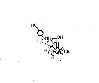 C#Cc1ccc(C(C)NC(=O)[C@@H]2C[C@@H](O)CN2C(=O)C(NC(=O)OC(C)(C)C)C(C)(C)O)cc1